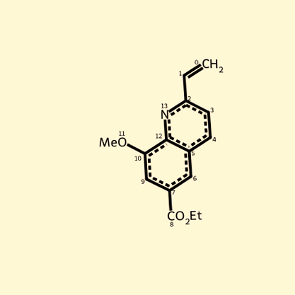 C=Cc1ccc2cc(C(=O)OCC)cc(OC)c2n1